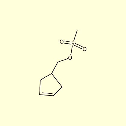 CS(=O)(=O)OCC1CC=CC1